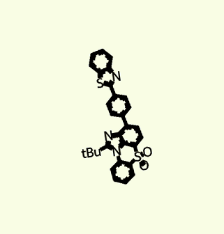 CC(C)(C)c1nc2c(-c3ccc(-c4nc5ccccc5s4)cc3)ccc3c2n1-c1ccccc1S3(=O)=O